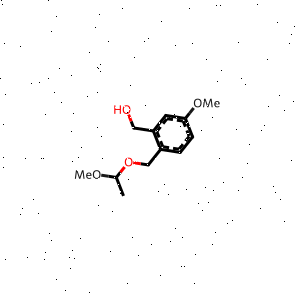 COc1ccc(COC(C)OC)c(CO)c1